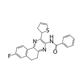 O=C(Nc1nc2c(nc1C1CC=CS1)-c1ccc(F)cc1CC2)c1ccccc1